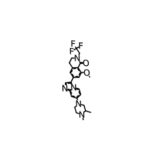 COc1cc(-c2cnc3cc(N4CCN(C)C(C)C4)ccn23)cc2c1C(=O)N(CC(F)(F)F)CC2